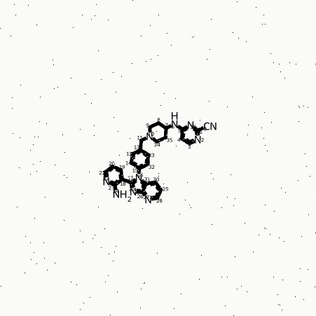 N#Cc1nccc(NC2CCN(Cc3ccc(-n4c(-c5cccnc5N)nc5ncccc54)cc3)CC2)n1